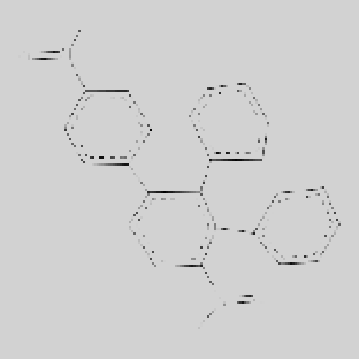 O=[N+]([O-])c1ccc(-c2ccc([N+](=O)[O-])c(-c3ccccc3)c2-c2ccccc2)cc1